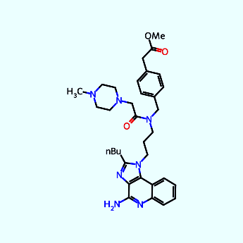 CCCCc1nc2c(N)nc3ccccc3c2n1CCCN(Cc1ccc(CC(=O)OC)cc1)C(=O)CN1CCN(C)CC1